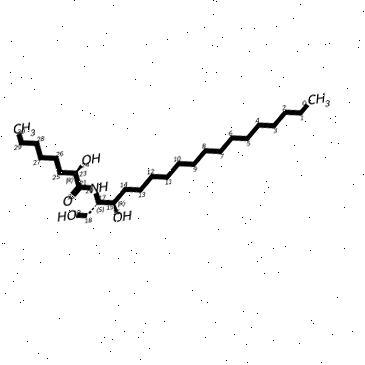 CCCCCCCCCCCCCCC[C@@H](O)[C@H](CO)NC(=O)[C@H](O)CCCCCC